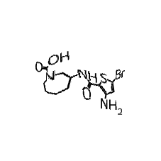 Nc1cc(Br)sc1C(=O)NC1CCCCN(C(=O)O)C1